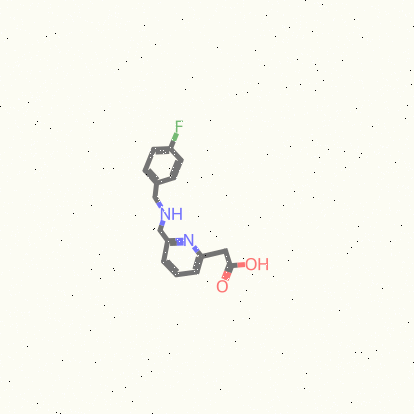 O=C(O)Cc1cccc(CNCc2ccc(F)cc2)n1